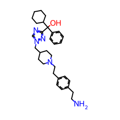 NCCc1ccc(CCN2CCC(Cn3cnc(C(O)(c4ccccc4)C4CCCCC4)n3)CC2)cc1